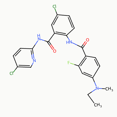 CCN(C)c1ccc(C(=O)Nc2ccc(Cl)cc2C(=O)Nc2ccc(Cl)cn2)c(F)c1